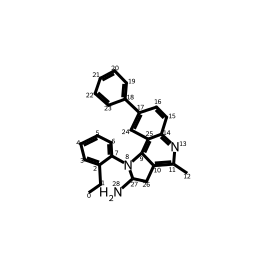 CCc1ccccc1N1c2c(c(C)nc3ccc(-c4ccccc4)cc23)CC1N